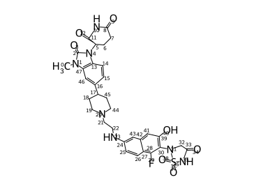 Cn1c(=O)n(C2CCC(=O)NC2=O)c2ccc(C3CCN(CCNc4ccc5c(F)c(N6CC(=O)NS6(=O)=O)c(O)cc5c4)CC3)cc21